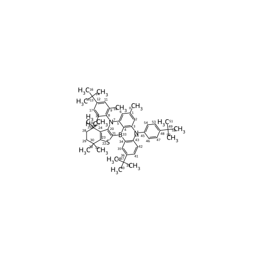 Cc1cc2c3c(c1)N(c1c(C)cc(C(C)(C)C)cc1C)c1c(sc4c1C(C)(C)CCC4(C)C)B3c1cc(C(C)(C)C)ccc1N2c1ccc(C(C)(C)C)cc1